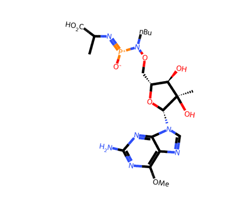 CCCCN(OC[C@H]1O[C@@H](n2cnc3c(OC)nc(N)nc32)[C@](C)(O)[C@@H]1O)/[P+]([O-])=N/C(C)C(=O)O